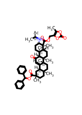 CC(=O)[C@H](C)N[C@H]1CC[C@@]2(C)[C@@H](CC[C@]3(C)[C@@H]2C(=O)C=C2[C@@H]4C[C@@](C)(C(=O)OC(c5ccccc5)c5ccccc5)CC[C@]4(C)CC[C@]23C)[C@]1(C)C(=O)OCc1oc(=O)oc1C